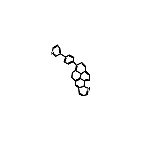 C1=CC2=CC3=C4C(=CC=C5C=CC(c6ccc(-c7cccnc7)cc6)=C(CC3)C54)C2N=C1